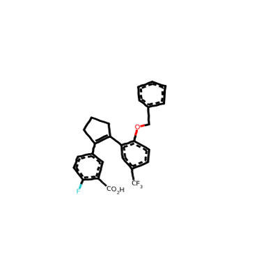 O=C(O)c1cc(C2=C(c3cc(C(F)(F)F)ccc3OCc3ccccc3)CCC2)ccc1F